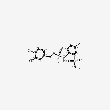 NS(=O)(=O)c1cc(Cl)ccc1NS(=O)(=O)CCc1ccc(Cl)c(Cl)c1